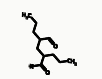 CCCC(C=O)CC(CCC)C([N])=O